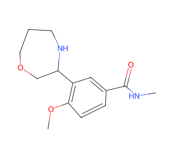 CNC(=O)c1ccc(OC)c(C2COCCCN2)c1